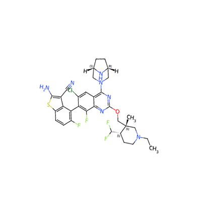 CCN1CC[C@H](C(F)F)[C@](C)(COc2nc(N3C[C@H]4CC[C@@H](C3)N4)c3cc(Cl)c(-c4c(F)ccc5sc(N)c(C#N)c45)c(F)c3n2)C1